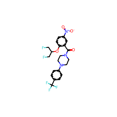 O=C(c1cc([N+](=O)[O-])ccc1OC(CF)CF)N1CCN(c2ccc(C(F)(F)F)cc2)CC1